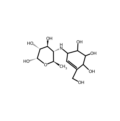 C[C@H]1O[C@H](O)[C@H](O)[C@@H](O)[C@@H]1NC1C=C(CO)C(O)C(O)C1O